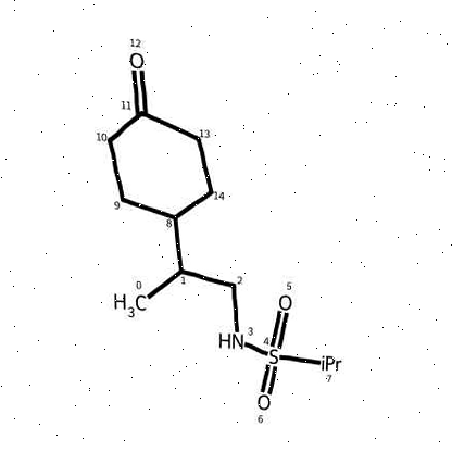 CC(CNS(=O)(=O)C(C)C)C1CCC(=O)CC1